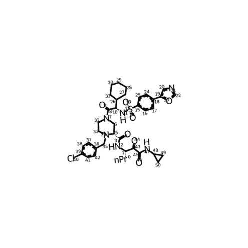 CCC[C@H](NC(=O)[C@H]1CN(C(=O)[C@@H](NS(=O)(=O)c2ccc(-c3cnco3)cc2)C2CCCCC2)CCN1Cc1ccc(Cl)cc1)C(=O)C(=O)NC1CC1